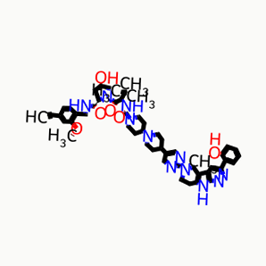 C#Cc1ccc(CNC(=O)[C@@H]2C[C@@H](O)CN2C(=O)[C@@H](NC(=O)N2CCC(N3CCC(c4cnc(N5CCc6[nH]c7nnc(-c8ccccc8O)cc7c6[C@H]5C)nc4)CC3)CC2)C(C)(C)C)c(OC)c1